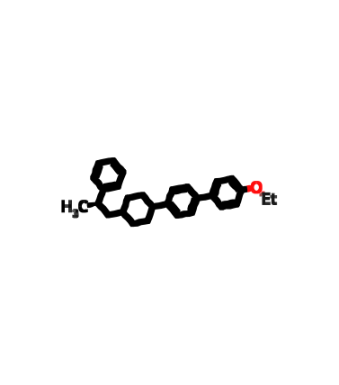 CCOc1ccc(-c2ccc(C3CCC(C[C@@H](C)c4ccccc4)CC3)cc2)cc1